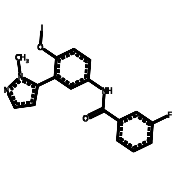 Cn1nccc1-c1cc(NC(=O)c2cccc(F)c2)ccc1OI